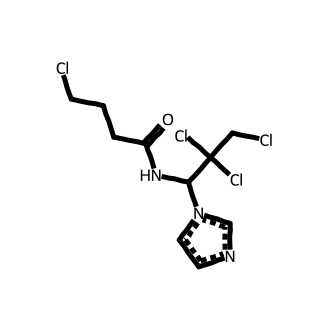 O=C(CCCCl)NC(n1ccnc1)C(Cl)(Cl)CCl